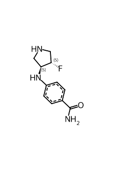 NC(=O)c1ccc(N[C@H]2CNC[C@@H]2F)cc1